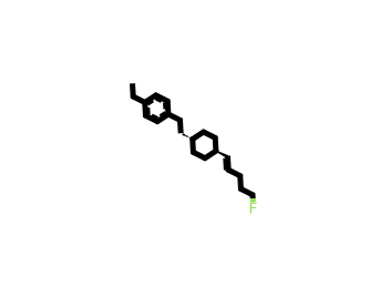 CCc1ccc(CC[C@H]2CC[C@H](/C=C/CCCF)CC2)cc1